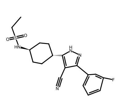 CCS(=O)(=O)N[C@H]1CC[C@H](c2[nH]nc(-c3cccc(F)c3)c2C#N)CC1